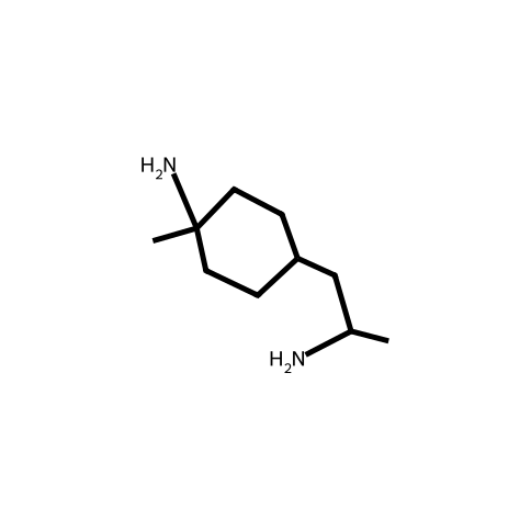 CC(N)CC1CCC(C)(N)CC1